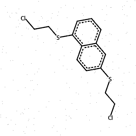 ClCCSc1ccc2c(SCCCl)cccc2c1